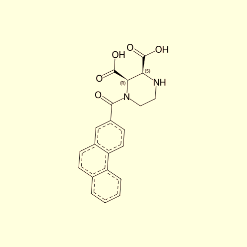 O=C(O)[C@H]1NCCN(C(=O)c2ccc3c(ccc4ccccc43)c2)[C@H]1C(=O)O